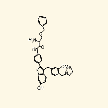 COc1cc(Cc2c(-c3ccc(NC(=O)[C@@H](N)COCc4ccccc4)cc3)sc3cc(O)ccc23)ccc1CN1CCCC1